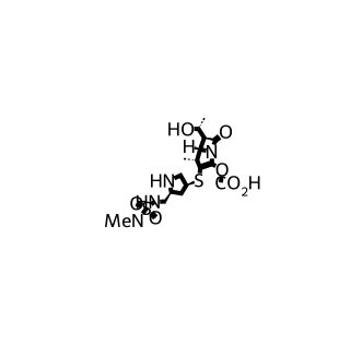 CNS(=O)(=O)NC[C@@H]1C[C@H](SC2=C(OC(=O)O)N3C(=O)[C@H]([C@@H](C)O)[C@H]3[C@H]2C)CN1